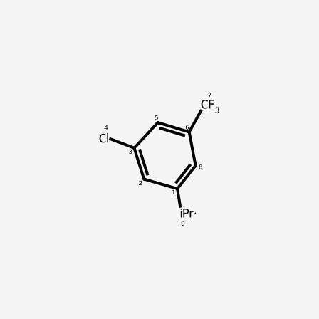 C[C](C)c1cc(Cl)cc(C(F)(F)F)c1